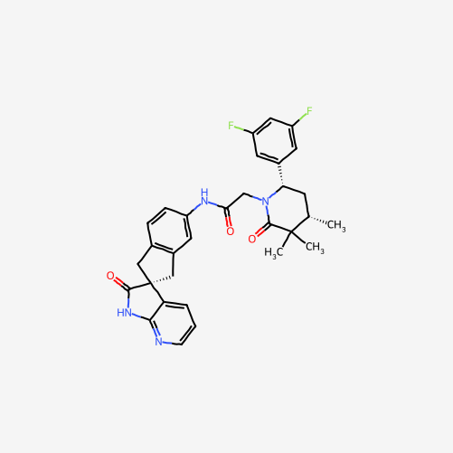 C[C@H]1C[C@@H](c2cc(F)cc(F)c2)N(CC(=O)Nc2ccc3c(c2)C[C@@]2(C3)C(=O)Nc3ncccc32)C(=O)C1(C)C